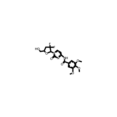 COc1cc(C(=O)Nc2ccn(C3OC(CO)CC3(F)F)c(=O)n2)cc(OC)c1OC